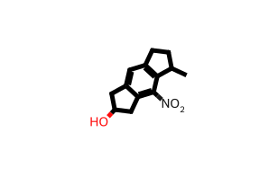 CC1CCc2cc3c(c([N+](=O)[O-])c21)CC(O)C3